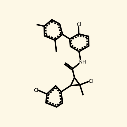 C=C(Nc1ccc(Cl)c(-c2ccc(C)cc2C)c1)C1C(c2cccc(Cl)c2)C1(C)Cl